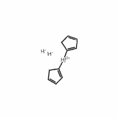 C1=CC[C]([Hf+2][C]2=CC=CC2)=C1.[H-].[H-]